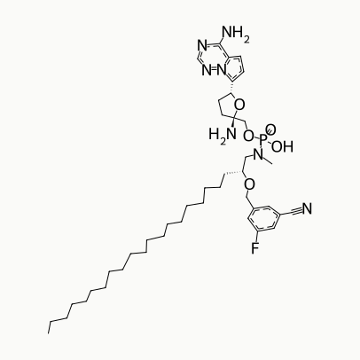 CCCCCCCCCCCCCCCCCCCC[C@H](CN(C)P(=O)(O)OC[C@]1(N)CC[C@H](c2ccc3c(N)ncnn23)O1)OCc1cc(F)cc(C#N)c1